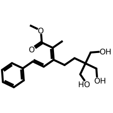 COC(=O)C(C)=C(C=Cc1ccccc1)CCC(CO)(CO)CO